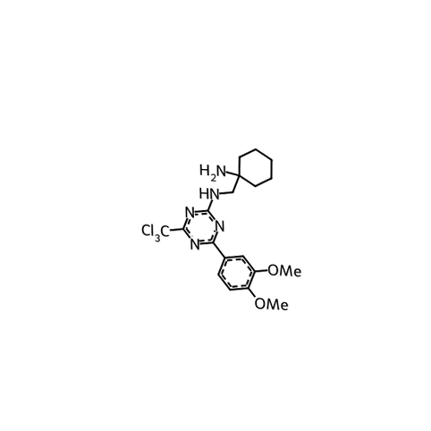 COc1ccc(-c2nc(NCC3(N)CCCCC3)nc(C(Cl)(Cl)Cl)n2)cc1OC